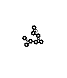 c1ccc(-n2c3ccccc3c3cc(-c4ccc5c6ccccc6n(-c6cccc(-c7cccc8c7oc7ccccc78)c6)c5c4)ccc32)cc1